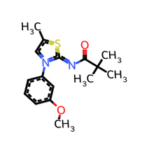 COc1cccc(-n2cc(C)s/c2=N\C(=O)C(C)(C)C)c1